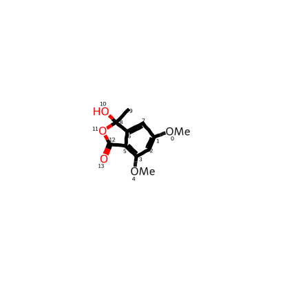 COc1cc(OC)c2c(c1)C(C)(O)OC2=O